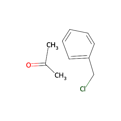 CC(C)=O.ClCc1ccccc1